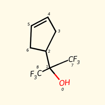 OC(C1CC=CC1)(C(F)(F)F)C(F)(F)F